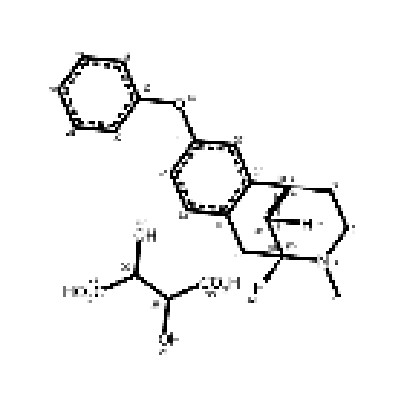 CN1CC[C@]23CCCC[C@H]2[C@H]1Cc1ccc(Oc2ccccc2)cc13.O=C(O)C(O)C(O)C(=O)O